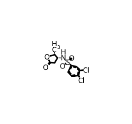 C[C@H]1OC(=O)C[C@H]1NS(=O)(=O)c1ccc(Cl)c(Cl)c1